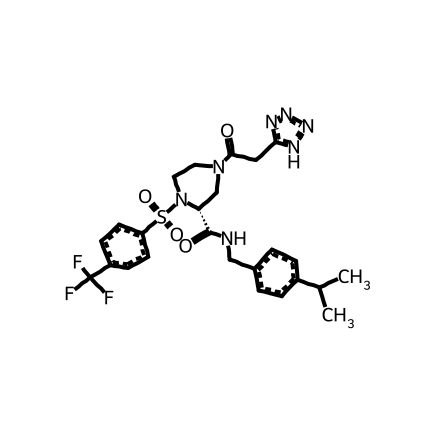 CC(C)c1ccc(CNC(=O)[C@H]2CN(C(=O)Cc3nnn[nH]3)CCN2S(=O)(=O)c2ccc(C(F)(F)F)cc2)cc1